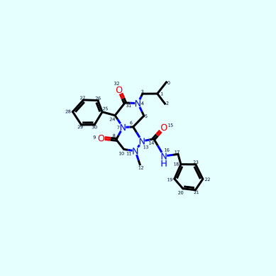 CC(C)CN1CC2N(C(=O)CN(C)N2C(=O)NCc2ccccc2)C(c2ccccc2)C1=O